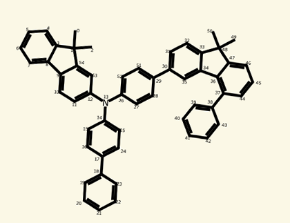 CC1(C)c2ccccc2-c2ccc(N(c3ccc(-c4ccccc4)cc3)c3ccc(-c4ccc5c(c4)-c4c(-c6ccccc6)cccc4C5(C)C)cc3)cc21